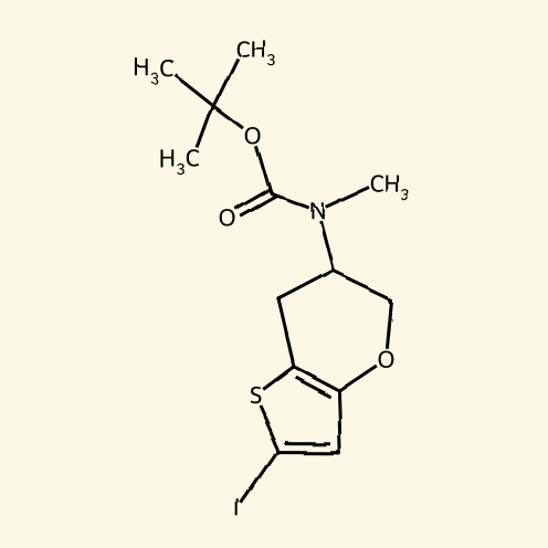 CN(C(=O)OC(C)(C)C)C1COc2cc(I)sc2C1